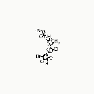 C=CC(OC(=O)CNC(=O)OC(C)(C)C)[C@H]1O[C@@H](n2cc(Br)c(=O)[nH]c2=O)C[C@@H]1Cl